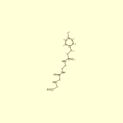 CCOC(=O)CNCC(=O)NCCNC(=O)COc1ccc(I)cc1